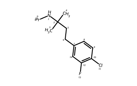 CC(C)NC(C)(C)CCc1ccc(Cl)c(F)c1